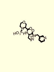 CC(C)CC(NC(=O)C1COCCN1C(=O)O)C(=O)NCc1cccnc1